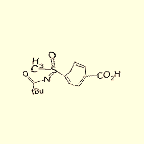 CC(C)(C)C(=O)N=S(C)(=O)c1ccc(C(=O)O)cc1